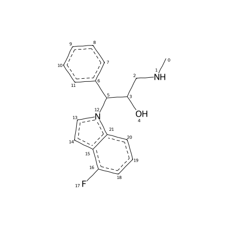 CNCC(O)C(c1ccccc1)n1ccc2c(F)cccc21